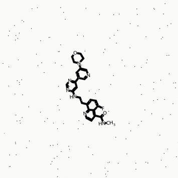 CNC(=O)c1ccnc2c(CCNc3cc(-c4cncc(N5CCOCC5)c4)ncn3)ccc(F)c12